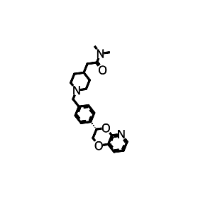 CN(C)C(=O)CC1CCN(Cc2ccc([C@H]3COc4cccnc4O3)cc2)CC1